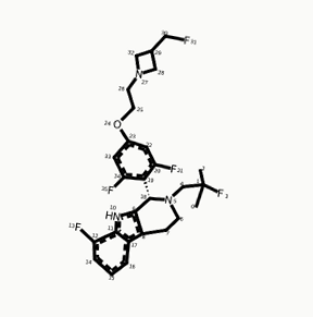 CC(C)(F)CN1CCc2c([nH]c3c(F)cccc23)[C@@H]1c1c(F)cc(OCCN2CC(CF)C2)cc1F